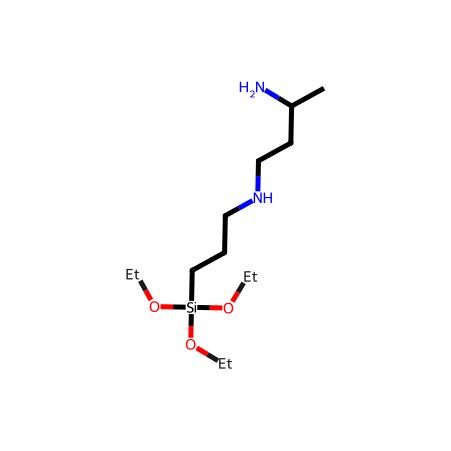 CCO[Si](CCCNCCC(C)N)(OCC)OCC